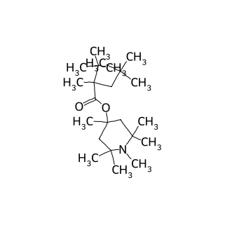 CN1C(C)(C)CC(C)(OC(=O)C(C)(CC(C)(C)C)C(C)(C)C)CC1(C)C